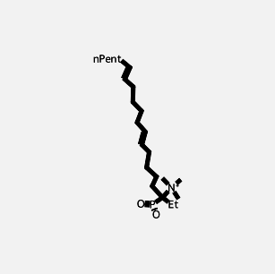 CCCCCC=CCCCCC=CCCCCC(CC)(P(=O)=O)[N+](C)(C)C